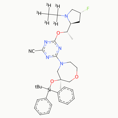 [2H]C([2H])([2H])C([2H])([2H])N1C[C@H](F)C[C@H]1[C@H](C)Oc1nc(C#N)nc(N2CCOC[C@@](C)(O[Si](c3ccccc3)(c3ccccc3)C(C)(C)C)C2)n1